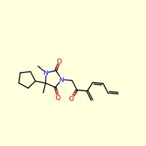 C=C/C=C\C(=C)C(=O)CN1C(=O)N(C)C(C)(C2CCCC2)C1=O